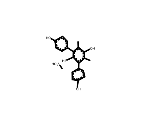 CS(=O)(=O)O.Cc1c(O)c(C)c(-c2ccc(O)cc2)c(S)c1-c1ccc(O)cc1